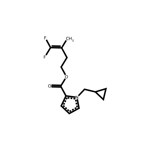 CC(CCOC(=O)c1cccn1CC1CC1)=C(F)F